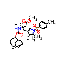 COC(=O)CC(C)(Cc1cn(S(=O)(=O)c2ccc(C)cc2)c(C)c1C)NC(=O)OC1CCC2CC3CC1C[C@@H]2C3